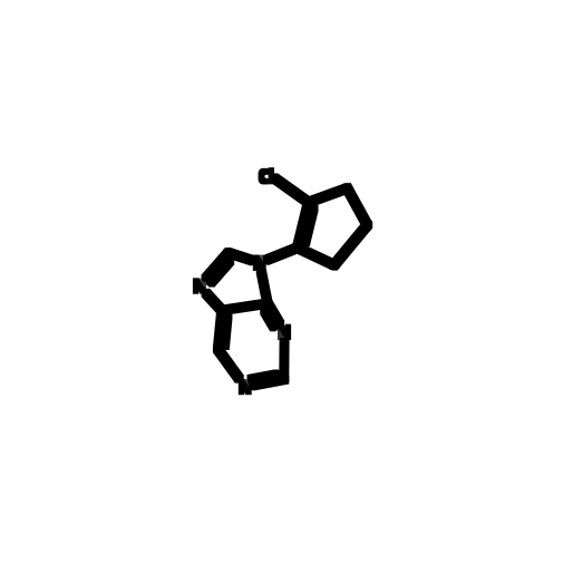 ClC1=C(n2cnc3cncnc32)CCC1